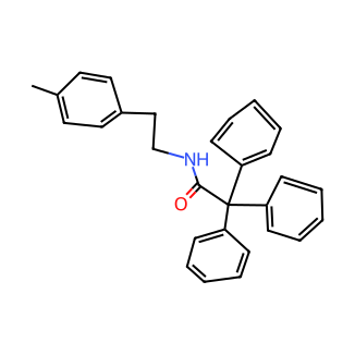 Cc1ccc(CCNC(=O)C(c2ccccc2)(c2ccccc2)c2ccccc2)cc1